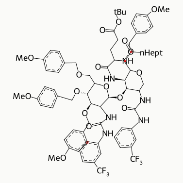 CCCCCCCC(=O)NC(CCC(=O)OC(C)(C)C)C(=O)N[C@H]1C(COCc2ccc(OC)cc2)OCC(NC(=O)Nc2cccc(C(F)(F)F)c2)[C@H]1O[C@@H]1OC(COCc2ccc(OC)cc2)[C@@H](OCc2ccc(OC)cc2)[C@H](OCc2ccc(OC)cc2)C1NC(=O)Nc1cccc(C(F)(F)F)c1